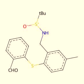 Cc1ccc(Sc2ccccc2C=O)c(CN[S+]([O-])C(C)(C)C)c1